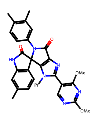 COc1ncc(-c2nc3c(n2C(C)C)C2(C(=O)Nc4cc(C)ccc42)N(c2ccc(C)c(C)c2)C3=O)c(OC)n1